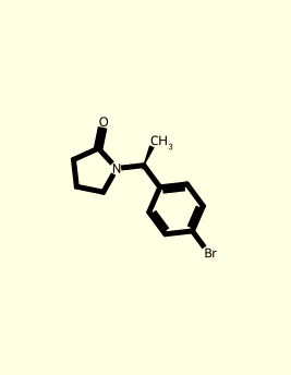 C[C@@H](c1ccc(Br)cc1)N1CCCC1=O